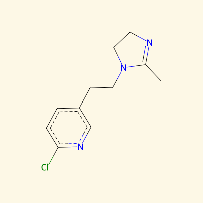 CC1=NCCN1CCc1ccc(Cl)nc1